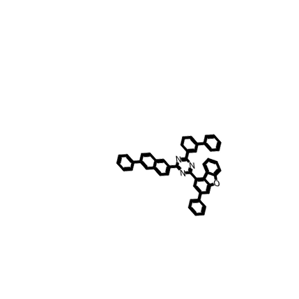 C1=C(c2ccccc2)C=C(c2nc(-c3ccc4cc(-c5ccccc5)ccc4c3)nc(-c3cc(-c4ccccc4)cc4oc5ccccc5c34)n2)CC1